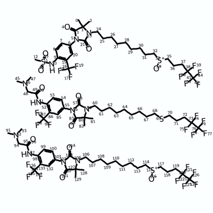 CC1(C)C(=O)N(c2ccc(NS(C)(=O)=O)c(C(F)(F)F)c2)C(=O)N1CCCCCCCCC[S+]([O-])CCCC(F)(F)C(F)(F)F.CN(C)CC(=O)Nc1ccc(N2C(=O)N(CCCCCCCCCSCCCC(F)(F)C(F)(F)F)C(C)(C)C2=O)cc1C(F)(F)F.CN(C)CC(=O)Nc1ccc(N2C(=O)N(CCCCCCCCC[S+]([O-])CCCC(F)(F)C(F)(F)F)C(C)(C)C2=O)cc1C(F)(F)F